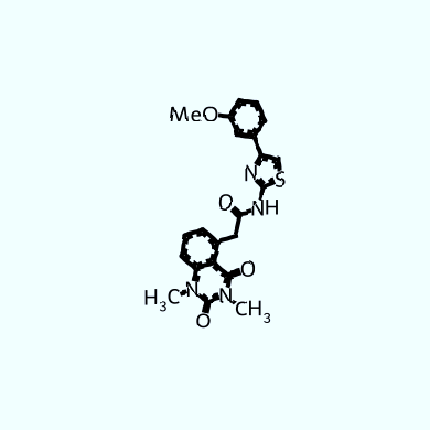 COc1cccc(-c2csc(NC(=O)Cc3cccc4c3c(=O)n(C)c(=O)n4C)n2)c1